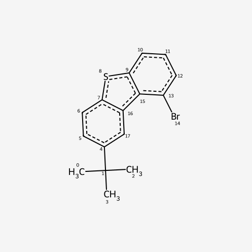 CC(C)(C)c1ccc2sc3cccc(Br)c3c2c1